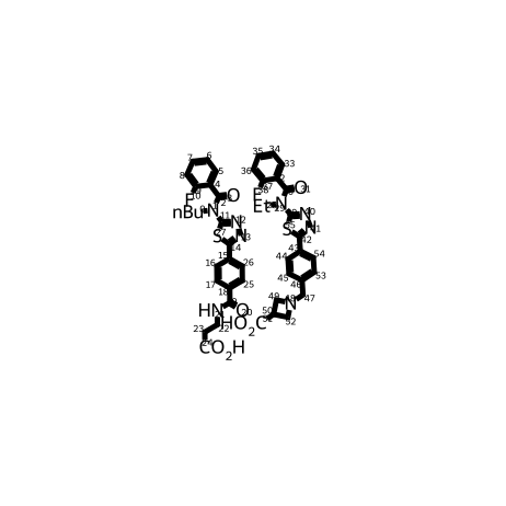 CCCCN(C(=O)c1ccccc1F)c1nnc(-c2ccc(C(=O)NCCC(=O)O)cc2)s1.CCN(C(=O)c1ccccc1F)c1nnc(-c2ccc(CN3CC(C(=O)O)C3)cc2)s1